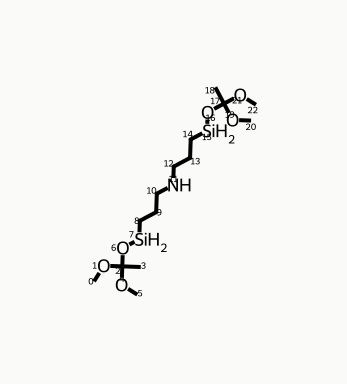 COC(C)(OC)O[SiH2]CCCNCCC[SiH2]OC(C)(OC)OC